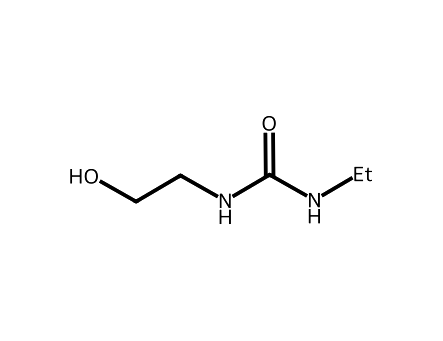 [CH2]CNC(=O)NCCO